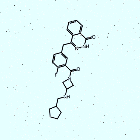 O=C(c1cc(Cc2n[nH]c(=O)c3ccccc23)ccc1F)N1CC(NCC2CCCC2)C1